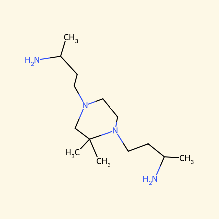 CC(N)CCN1CCN(CCC(C)N)C(C)(C)C1